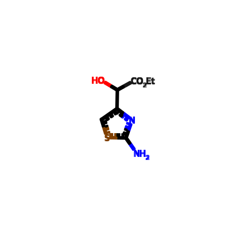 CCOC(=O)C(O)c1csc(N)n1